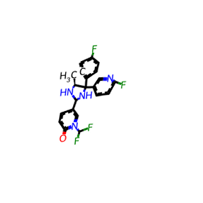 C[C@@H]1NC(c2ccc(=O)n(C(F)F)c2)NC1(c1ccc(F)cc1)c1ccc(F)nc1